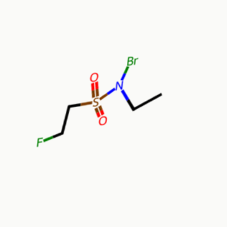 CCN(Br)S(=O)(=O)CCF